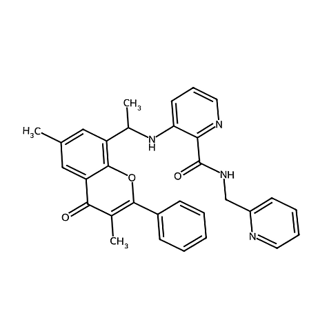 Cc1cc(C(C)Nc2cccnc2C(=O)NCc2ccccn2)c2oc(-c3ccccc3)c(C)c(=O)c2c1